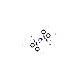 COc1ccc(C(CCCN(CC(C)C)CC(C)C)(OC(=O)/C=C\C(=O)OC(CCCN(CC(C)C)CC(C)C)(c2ccc(OC)cc2)c2ccc(OC)cc2)c2ccc(OC)cc2)cc1